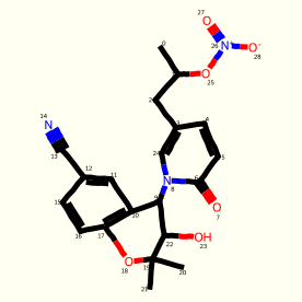 CC(Cc1ccc(=O)n(C2c3cc(C#N)ccc3OC(C)(C)C2O)c1)O[N+](=O)[O-]